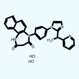 CC(c1ccccn1)c1nccn1-c1ccc(N2C(=O)CC(=O)Nc3c2ccc2ccccc32)cc1.Cl.Cl